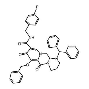 O=C(NCc1ccc(F)cc1)c1cn2c(c(OCc3ccccc3)c1=O)C(=O)N1CCCN(C(c3ccccc3)c3ccccc3)C1C2